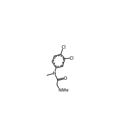 CNCC(=O)N(C)c1ccc(Cl)c(Cl)c1